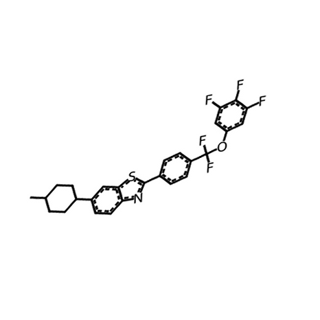 CC1CCC(c2ccc3nc(-c4ccc(C(F)(F)Oc5cc(F)c(F)c(F)c5)cc4)sc3c2)CC1